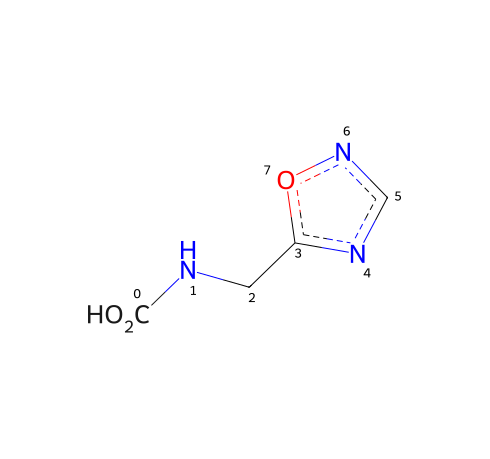 O=C(O)NCc1ncno1